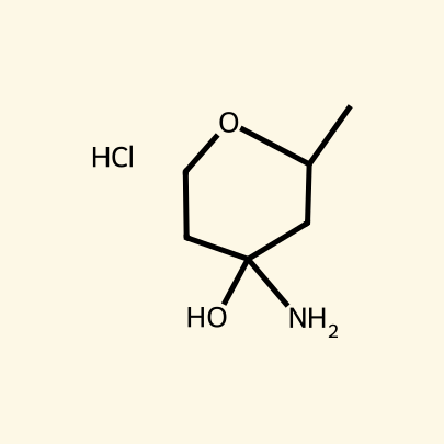 CC1CC(N)(O)CCO1.Cl